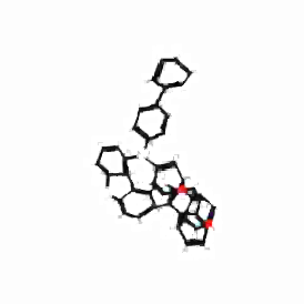 c1ccc(-c2ccc(N(c3ccc(-c4ccccc4)cc3)c3cccc4oc5ccc6c(sc7ccc8ccccc8c76)c5c34)cc2)cc1